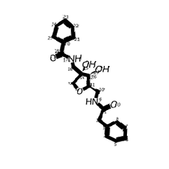 O=C(Cc1ccccc1)NC[C@H]1OC[C@@](O)(CNC(=O)c2ccccc2)[C@@H]1O